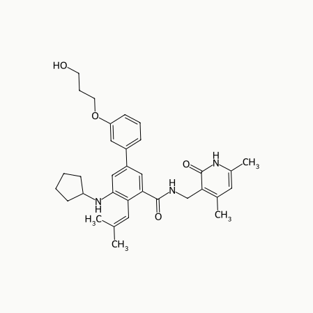 CC(C)=Cc1c(NC2CCCC2)cc(-c2cccc(OCCCO)c2)cc1C(=O)NCc1c(C)cc(C)[nH]c1=O